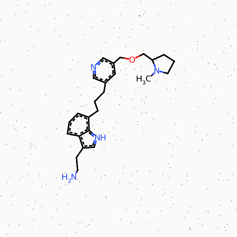 CN1CCCC1COCc1cncc(CCCc2cccc3c(CCN)c[nH]c23)c1